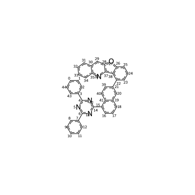 c1ccc(-c2nc(-c3ccccc3)nc(-c3cccc4cc(-c5cccc6oc7cc8ccccc8nc7c56)ccc34)n2)cc1